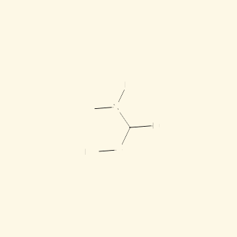 CCC(O[C]=O)N(CC)CC